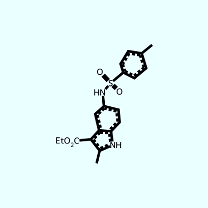 CCOC(=O)c1c(C)[nH]c2ccc(NS(=O)(=O)c3ccc(C)cc3)cc12